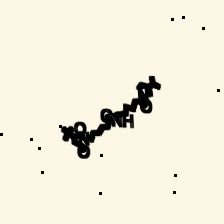 CC(C)C1CCN(C(=O)CCCCCNC(=O)CCCCCN2C(=O)CC(C(C)(C)C)C2=O)C1